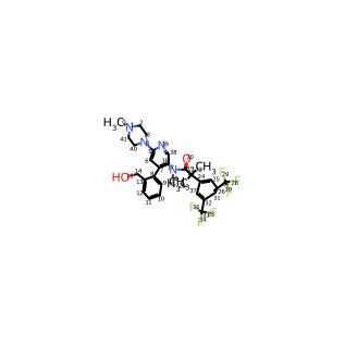 CN1CCN(c2cc(-c3ccccc3CO)c(N(C)C(=O)C(C)(C)c3cc(C(F)(F)F)cc(C(F)(F)F)c3)cn2)CC1